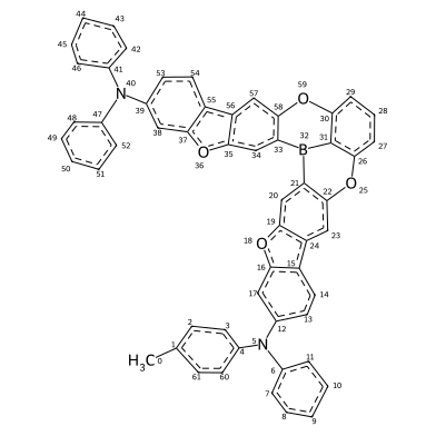 Cc1ccc(N(c2ccccc2)c2ccc3c(c2)oc2cc4c(cc23)Oc2cccc3c2B4c2cc4oc5cc(N(c6ccccc6)c6ccccc6)ccc5c4cc2O3)cc1